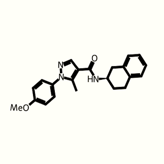 COc1ccc(-n2ncc(C(=O)N[C@@H]3CCc4ccccc4C3)c2C)cc1